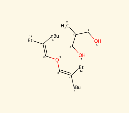 CC(CO)CO.CCCCC(=COC=C(CC)CCCC)CC